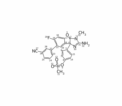 CN1C(=O)C(c2ccc(OS(C)(=O)=O)cc2)(c2ccc(F)c(-c3cccc(C#N)c3)c2)N=C1N